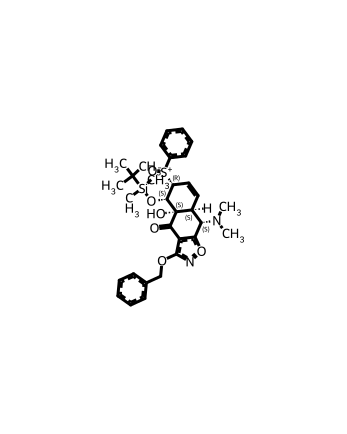 CN(C)[C@@H]1c2onc(OCc3ccccc3)c2C(=O)[C@@]2(O)[C@H](O[Si](C)(C)C(C)(C)C)[C@H]([S+]([O-])c3ccccc3)C=C[C@@H]12